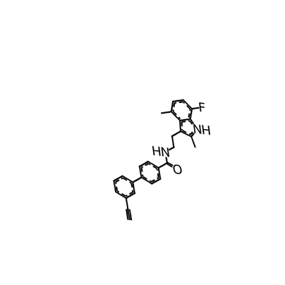 C#Cc1cccc(-c2ccc(C(=O)NCCc3c(C)[nH]c4c(F)ccc(C)c34)cc2)c1